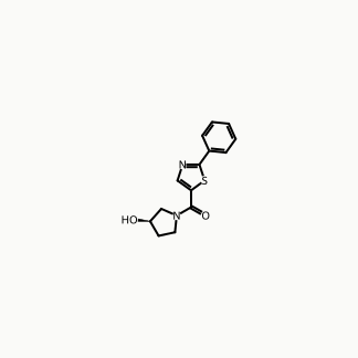 O=C(c1cnc(-c2ccccc2)s1)N1CC[C@@H](O)C1